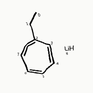 CCc1[c]cccc1.[LiH]